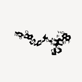 C=C1CC[C@H](N2Cc3cc(N4CCN(CC5CCN(CC6(COc7nc(N8CCC[C@]9(CCO9)C8)c8cnc(-c9cc(O)cc%10ccc(F)c(CC)c9%10)c(F)c8n7)CC6)CC5)CC4)ccc3C2=O)C(=O)N1